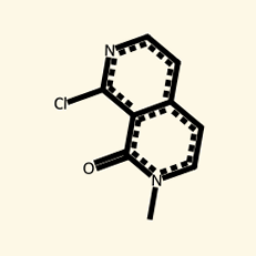 Cn1ccc2ccnc(Cl)c2c1=O